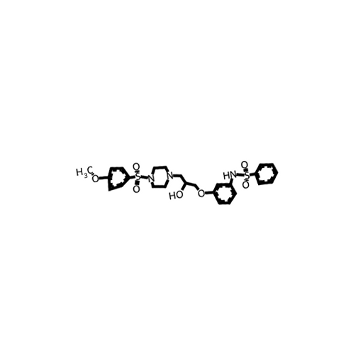 COc1ccc(S(=O)(=O)N2CCN(CC(O)COc3cccc(NS(=O)(=O)c4ccccc4)c3)CC2)cc1